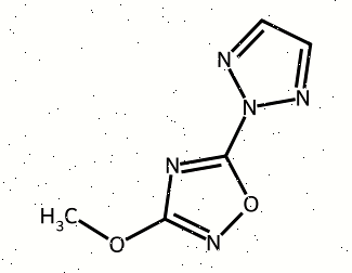 COc1noc(-n2nccn2)n1